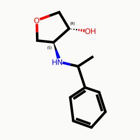 CC(N[C@H]1COC[C@@H]1O)c1ccccc1